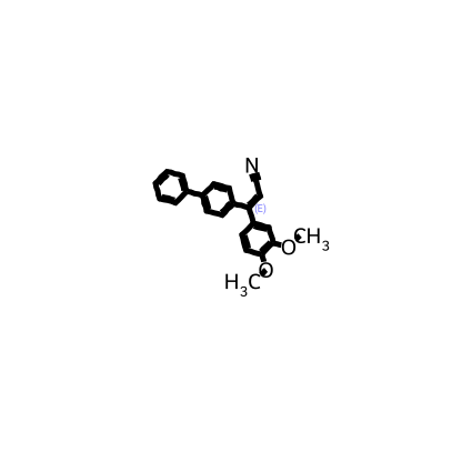 COc1ccc(/C(=C/C#N)c2ccc(-c3ccccc3)cc2)cc1OC